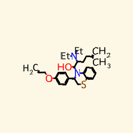 C=CCOc1ccc(C2CSc3ccccc3N2C(O)C(CCC(=C)C)N(CC)CC)cc1